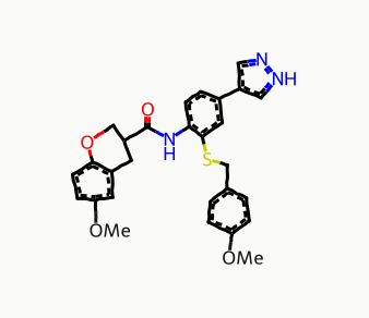 COc1ccc(CSc2cc(-c3cn[nH]c3)ccc2NC(=O)C2COc3ccc(OC)cc3C2)cc1